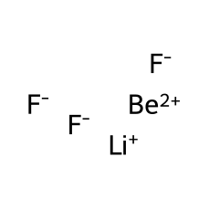 [Be+2].[F-].[F-].[F-].[Li+]